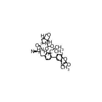 Cn1c(=O)oc2ccc(-c3ccc(C[C@@H](C#N)NC(=O)[C@@H]4C[C@@H]5COC[C@@H]5N4C(=O)OC(C)(C)C)cc3)cc21